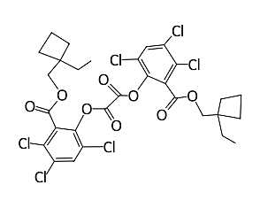 CCC1(COC(=O)c2c(Cl)c(Cl)cc(Cl)c2OC(=O)C(=O)Oc2c(Cl)cc(Cl)c(Cl)c2C(=O)OCC2(CC)CCC2)CCC1